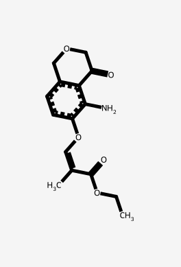 CCOC(=O)C(C)=COc1ccc2c(c1N)C(=O)COC2